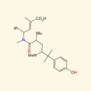 CNC(CC(C(=O)N(C)C(/C=C(\C)C(=O)O)C(C)C)C(C)(C)C)C(C)(C)c1ccc(O)cc1